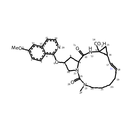 COc1ccc2c(OC3CC4C(=O)NC5(C(=O)O)CC5/C=C/CCCCN(C)C(=O)N4C3)nccc2c1